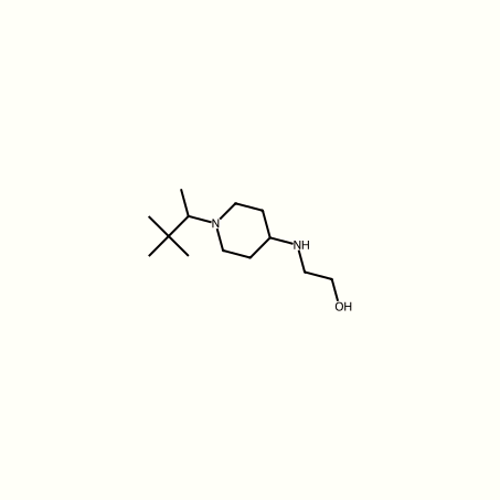 CC(N1CCC(NCCO)CC1)C(C)(C)C